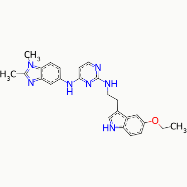 CCOc1ccc2[nH]cc(CCNc3nccc(Nc4ccc5c(c4)nc(C)n5C)n3)c2c1